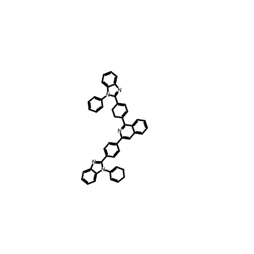 C1=CC(n2c(-c3ccc(-c4cc5ccccc5c(C5=CC=C(c6nc7ccccc7n6-c6ccccc6)CC5)n4)cc3)nc3ccccc32)=CCC1